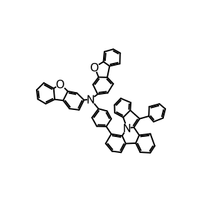 c1ccc(-c2c3ccccc3n3c4c(-c5ccc(N(c6ccc7c(c6)oc6ccccc67)c6ccc7c(c6)oc6ccccc67)cc5)cccc4c4ccccc4c23)cc1